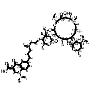 CC[C@H]1OC(=O)[C@H](C)[C@@H](O[C@H]2C[C@@](C)(OC)[C@@H](OCCN(C)CCCc3ccc4c(c3)c(=O)c(C(=O)O)cn4N(C)C)[C@H](C)O2)[C@H](C)[C@@H](O[C@@H]2O[C@H](C)C[C@H](N(C)C)[C@H]2O)[C@](C)(O)C[C@@H](C)CN(C)[C@H](C)[C@@H](O)[C@]1(C)O